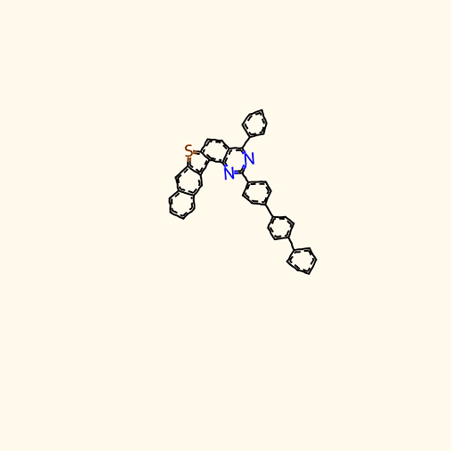 c1ccc(-c2ccc(-c3ccc(-c4nc(-c5ccccc5)c5ccc6sc7cc8ccccc8cc7c6c5n4)cc3)cc2)cc1